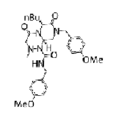 CCCC[C@H]1C(=O)N(Cc2ccc(OC)cc2)C[C@H]2N1C(=O)CN(C)N2C(=O)NCc1ccc(OC)cc1